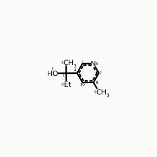 CCC(C)(O)c1cncc(C)c1